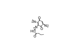 CCCC(=O)O.O=C1C=C(N2CC2)C(=O)C(N2CC2)=C1N1CC1